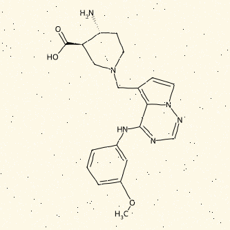 COc1cccc(Nc2ncnn3ccc(CN4CC[C@@H](N)[C@H](C(=O)O)C4)c23)c1